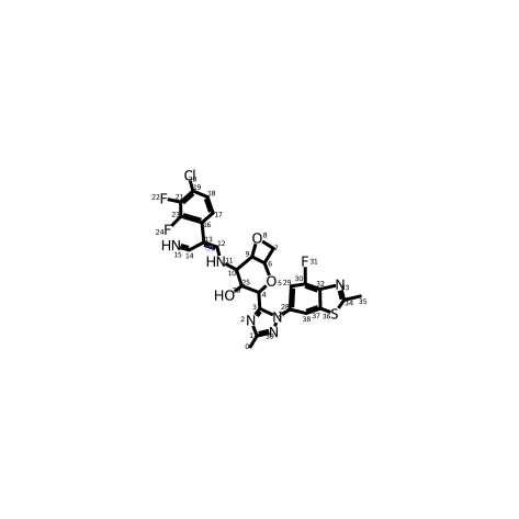 Cc1nc(C2OC3COC3C(N/C=C(\C=N)c3ccc(Cl)c(F)c3F)C2O)n(-c2cc(F)c3nc(C)sc3c2)n1